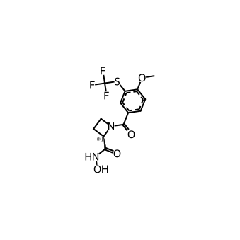 COc1ccc(C(=O)N2CC[C@@H]2C(=O)NO)cc1SC(F)(F)F